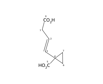 O=C(O)CC=CC1(C(=O)O)CC1